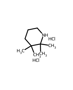 CC1(C)CCCNC1(C)C.Cl.Cl